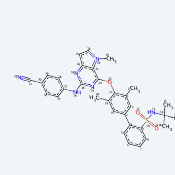 Cc1cc(-c2ccccc2S(=O)(=O)NC(C)(C)C)cc(C)c1Oc1nc(Nc2ccc(C#N)cc2)nc2ccn(C)c12